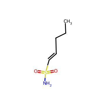 CCC/C=C/S(N)(=O)=O